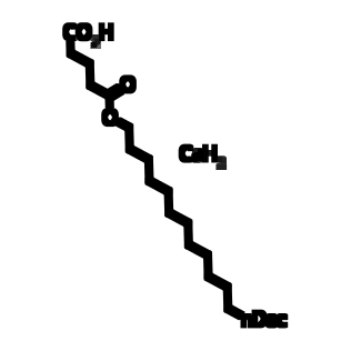 CCCCCCCCCCCCCCCCCCCCCCOC(=O)CCCC(=O)O.[CaH2]